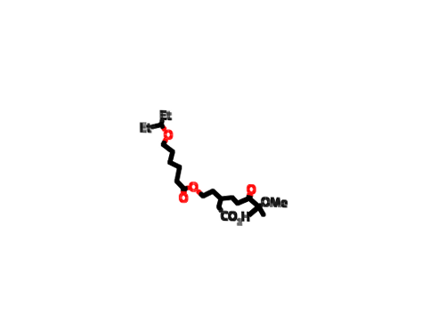 CCC(CC)OCCCCCC(=O)OCCC(CCC(=O)C(C)(C)OC)CC(=O)O